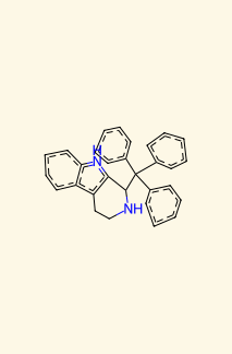 c1ccc(C(c2ccccc2)(c2ccccc2)C2NCCc3c2[nH]c2ccccc32)cc1